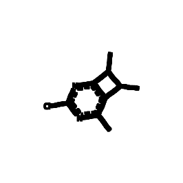 Cc1nc(Cl)nc2c1C(C)C2C